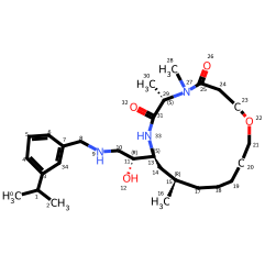 CC(C)c1cccc(CNC[C@@H](O)[C@@H]2C[C@H](C)CCCCCOCCC(=O)N(C)[C@@H](C)C(=O)N2)c1